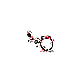 COc1ccc(C2OCC(C)(C(=O)OC3CCC(CC(C)C4CC(=O)C(C)/C=C(\C)C(O)C(CO)C(=O)C(C)CC(C)/C=C/C=C/C=C(\C)C(OC)CC5CCC(C)C(O)(O5)C(=O)C(=O)N5CCCCC5C(=O)O4)CC3OC)CO2)cc1